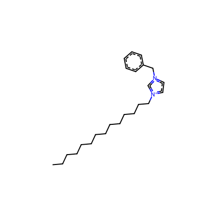 CCCCCCCCCCCCCC[n+]1ccn(Cc2ccccc2)c1